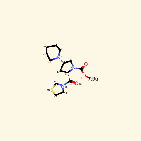 CC(C)(C)OC(=O)N1C[C@@H](N2CCCCC2)C[C@H]1C(=O)N1CCSC1